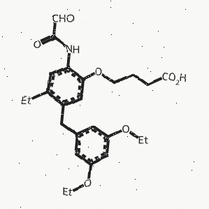 CCOc1cc(Cc2cc(OCCCC(=O)O)c(NC(=O)C=O)cc2CC)cc(OCC)c1